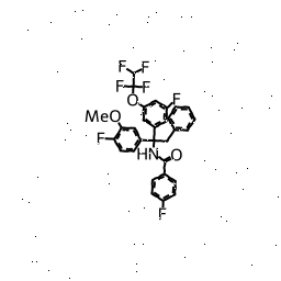 COc1cc(C(Cc2ccccc2)(NC(=O)c2ccc(F)cc2)c2cc(F)cc(OC(F)(F)C(F)F)c2)ccc1F